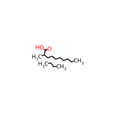 CCCC.CCCCCCCCC(C)C(=O)O